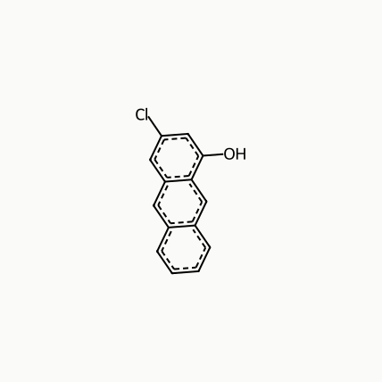 Oc1cc(Cl)cc2cc3ccccc3cc12